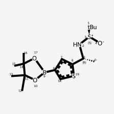 C[C@@H](N[S@+]([O-])C(C)(C)C)c1cc(B2OC(C)(C)C(C)(C)O2)cs1